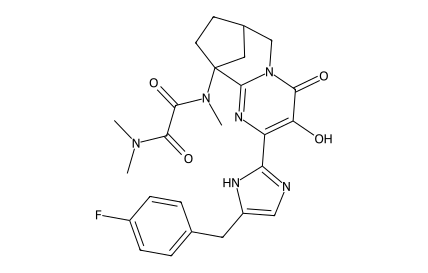 CN(C)C(=O)C(=O)N(C)C12CCC(Cn3c1nc(-c1ncc(Cc4ccc(F)cc4)[nH]1)c(O)c3=O)C2